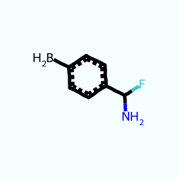 Bc1ccc(C(N)F)cc1